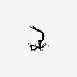 C#CC#CC=C=CC1OC1C(O)(C=C)C1CCC(=O)O1